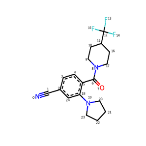 N#Cc1ccc(C(=O)N2CCC(C(F)(F)F)CC2)c(N2CCCC2)c1